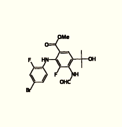 COC(=O)c1cc(C(C)(C)O)c(NC=O)c(F)c1Nc1ccc(Br)cc1F